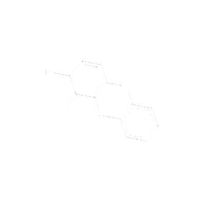 CC(C)C1C=CC2=C(Oc3ccccc3O2)C1=O